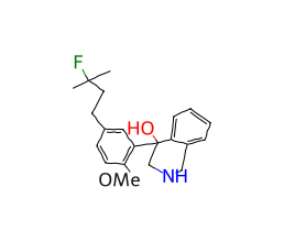 COc1ccc(CCC(C)(C)F)cc1C1(O)CNCc2ccccc21